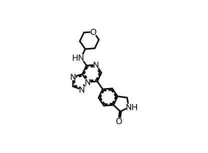 O=C1NCc2cc(-c3cnc(NC4CCOCC4)c4ncnn34)ccc21